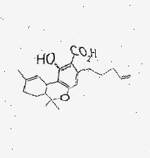 C=CCCCc1cc2c(c(O)c1C(=O)O)C1C=C(C)CCC1C(C)(C)O2